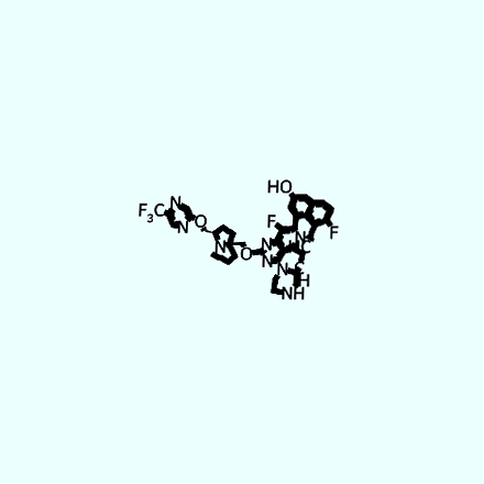 C#Cc1c(F)ccc2cc(O)cc(-c3nc4c5c(nc(OC[C@@]67CCCN6[C@H](COc6cnc(C(F)(F)F)cn6)CC7)nc5c3F)N3CCNC[C@H]3CC4)c12